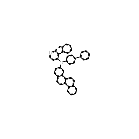 c1ccc(-c2ccc(N(c3ccc4ccc5c6ccccc6ccc5c4c3)c3ccnc4sc5ccccc5c34)cc2)cc1